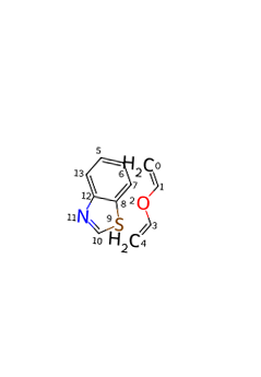 C=COC=C.c1ccc2scnc2c1